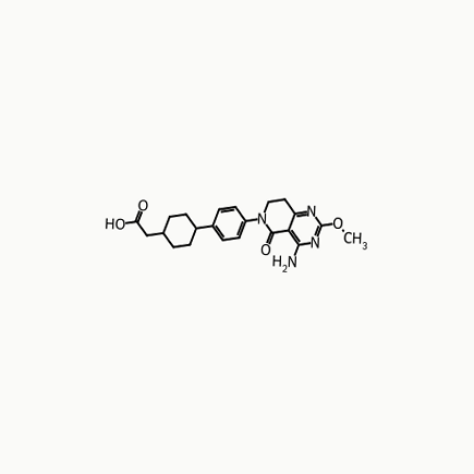 COc1nc(N)c2c(n1)CCN(c1ccc(C3CCC(CC(=O)O)CC3)cc1)C2=O